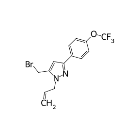 C=CCn1nc(-c2ccc(OC(F)(F)F)cc2)cc1CBr